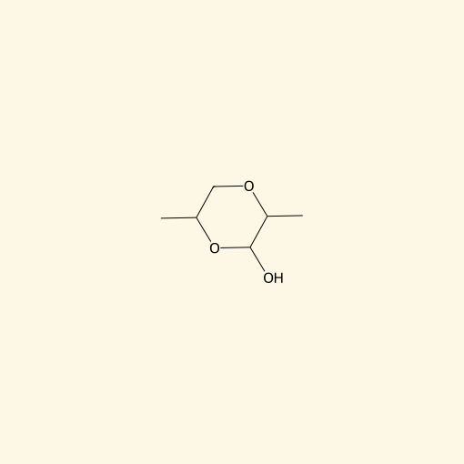 CC1COC(C)C(O)O1